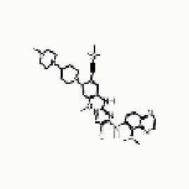 COc1cc(N2CCC(N3CCN(C)CC3)CC2)c(C#C[Si](C)(C)C)cc1Nc1ncc(Cl)c(Nc2ccc3nccnc3c2P(C)C)n1